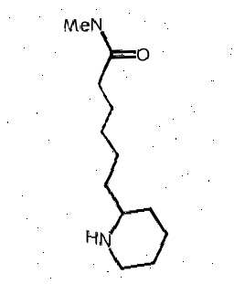 [CH2]NC(=O)CCCCCC1CCCCN1